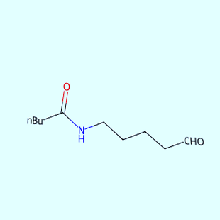 CCCCC(=O)NCCCCC=O